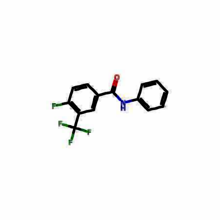 O=C(Nc1c[c]ccc1)c1ccc(F)c(C(F)(F)F)c1